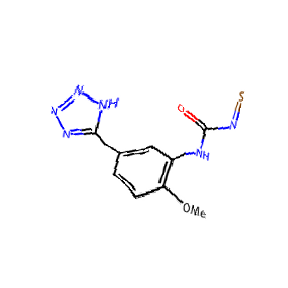 COc1ccc(-c2nnn[nH]2)cc1NC(=O)N=S